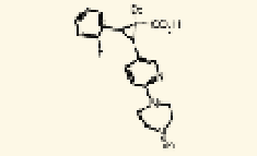 CC[C@@]1(C(=O)O)[C@H](c2ccccc2F)[C@@H]1c1ccc(N2CCN(C(C)C)CC2)nc1